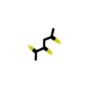 CC(=S)CC(=S)C(C)=S